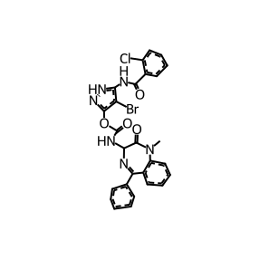 CN1C(=O)C(NC(=O)Oc2n[nH]c(NC(=O)c3ccccc3Cl)c2Br)N=C(c2ccccc2)c2ccccc21